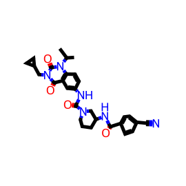 CC(C)n1c(=O)n(CC2CC2)c(=O)c2cc(NC(=O)N3CCCC(NC(=O)c4ccc(C#N)cc4)C3)ccc21